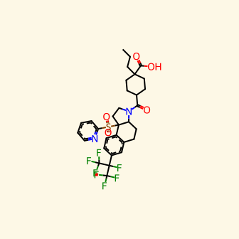 CCCC1(C(=O)O)CCC(C(=O)N2CCC3(S(=O)(=O)c4ccccn4)c4ccc(C(F)(C(F)(F)F)C(F)(F)F)cc4CCC23)CC1